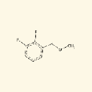 CO[CH]c1cccc(F)c1F